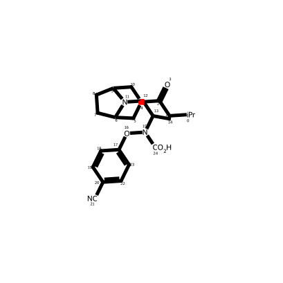 CC(C)CC(=O)N1CC2CCC(C1)N2CC(C)N(Oc1ccc(C#N)cc1)C(=O)O